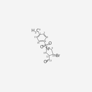 Cc1ccc(S(=O)(=O)N2CC(Br)C(C=O)C2)cc1